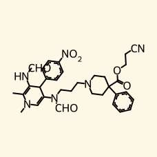 CC1=C(NC=O)C(c2ccc([N+](=O)[O-])cc2)C(N(C=O)CCCN2CCC(C(=O)OCCC#N)(c3ccccc3)CC2)=CN1C